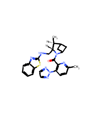 Cc1ccc(-n2nccn2)c(C(=O)N2C3CC(C3)[C@H](C)[C@H]2CNc2nc3ccccc3s2)n1